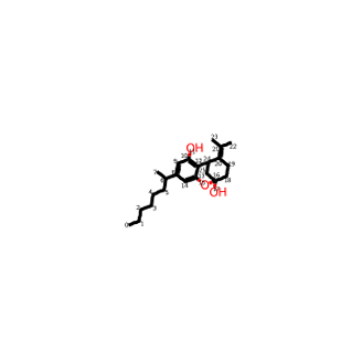 CCCCCCC(C)c1cc(O)c2c(c1)OC1(O)CCC(=C(C)C)C2C1